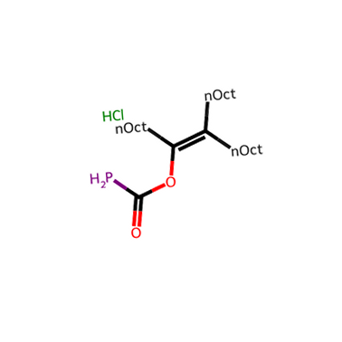 CCCCCCCCC(CCCCCCCC)=C(CCCCCCCC)OC(=O)P.Cl